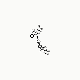 CC(CN1C=C(C(F)(F)F)C(c2ccccc2)N1C#CC1CCN(c2ccc3c(c2)C(=O)N(C2CCC(=O)NC2=O)C3=O)CC1)C(=O)NC#N